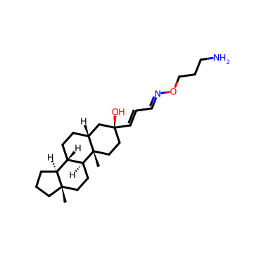 C[C@@]12CCC[C@H]1[C@@H]1CC[C@@H]3C[C@](O)(/C=C/C=N/OCCCN)CC[C@]3(C)[C@H]1CC2